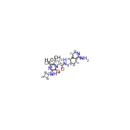 CC1(C)C[C@@H](C(=O)NCc2ccc3c(N)nccc3c2)n2c1c(Cl)nc(NC1CCC1)c2=O